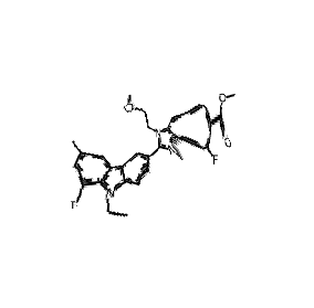 CCn1c2ccc(-c3nc4c(F)c(C(=O)OC)ccc4n3CCOC)cc2c2cc(C)cc(F)c21